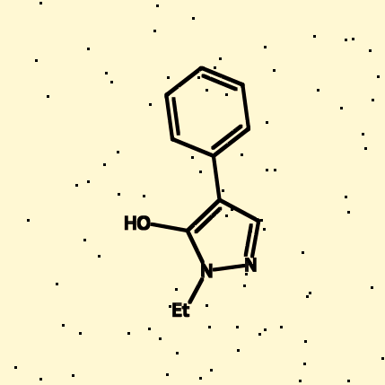 CCn1ncc(-c2ccccc2)c1O